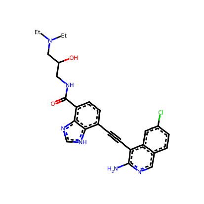 CCN(CC)CC(O)CNC(=O)c1ccc(C#Cc2c(N)ncc3ccc(Cl)cc23)c2[nH]cnc12